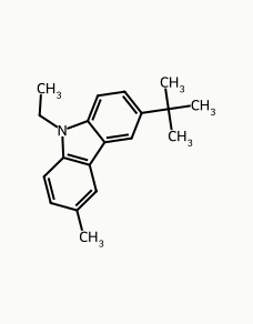 CCn1c2ccc(C)cc2c2cc(C(C)(C)C)ccc21